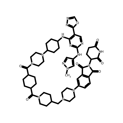 Cn1cc(Nc2ncc(-c3nnco3)c(NC3CCC(N4CCN(C(=O)C5CCC(C(=O)N6CCC(CN7CCN(c8ccc9c(c8)C(=O)N(C8CCC(=O)NC8=O)C9=O)CC7)CC6)CC5)CC4)CC3)n2)cn1